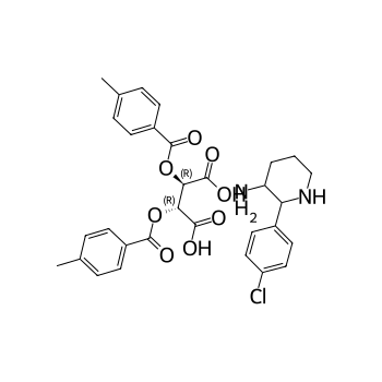 Cc1ccc(C(=O)O[C@@H](C(=O)O)[C@@H](OC(=O)c2ccc(C)cc2)C(=O)O)cc1.NC1CCCNC1c1ccc(Cl)cc1